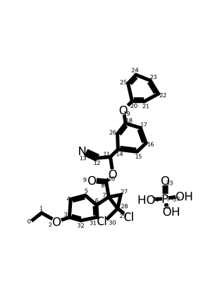 CCOc1ccc(C2(C(=O)OC(C#N)c3cccc(Oc4ccccc4)c3)CC2(Cl)Cl)cc1.O=P(O)(O)O